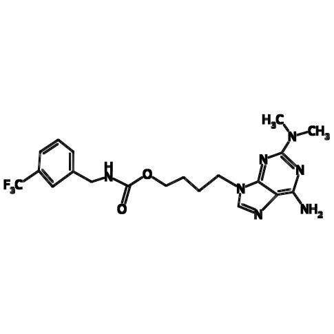 CN(C)c1nc(N)c2ncn(CCCCOC(=O)NCc3cccc(C(F)(F)F)c3)c2n1